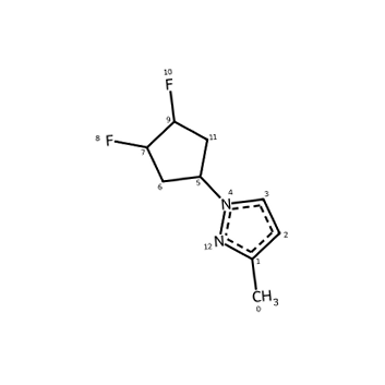 Cc1ccn(C2CC(F)C(F)C2)n1